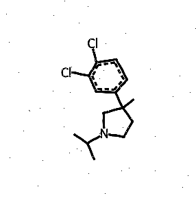 CC(C)N1CCC(C)(c2ccc(Cl)c(Cl)c2)C1